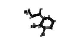 CC(=NN)c1cccc(Cl)c1O